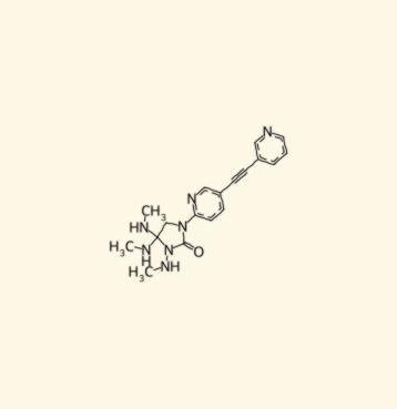 CNN1C(=O)N(c2ccc(C#Cc3cccnc3)cn2)CC1(NC)NC